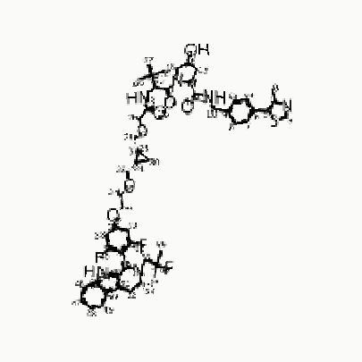 Cc1ncsc1-c1ccc(CNC(=O)[C@@H]2C[C@@H](O)CN2C(=O)C(NC(=O)COC[C@@H]2C[C@@H]2COCCOc2cc(F)c([C@@H]3c4[nH]c5ccccc5c4C[C@@H](C)N3CC(C)(C)F)c(F)c2)C(C)(C)C)cc1